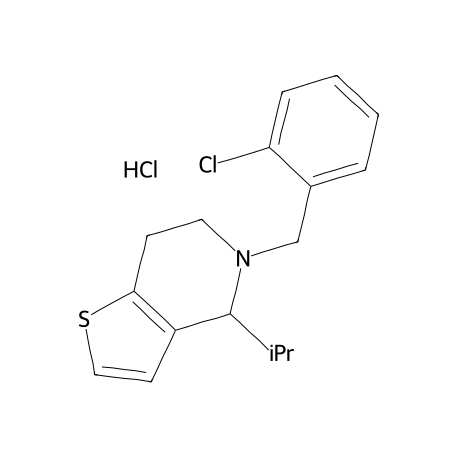 CC(C)C1c2ccsc2CCN1Cc1ccccc1Cl.Cl